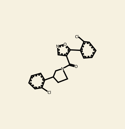 O=C(c1cnoc1-c1ccccc1Cl)N1CCC(c2ccccc2Cl)C1